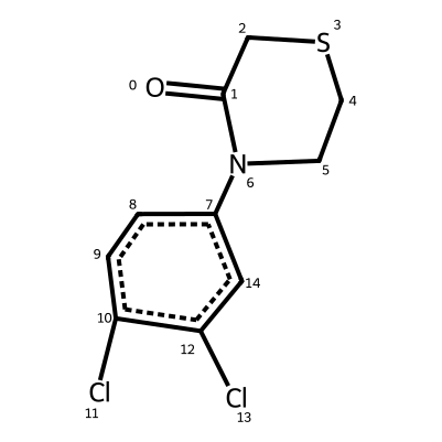 O=C1CSCCN1c1ccc(Cl)c(Cl)c1